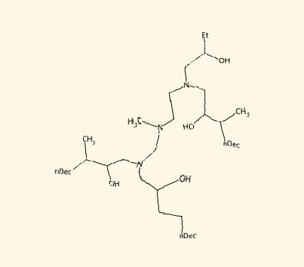 CCCCCCCCCCCCC(O)CN(CC(O)C(C)CCCCCCCCCC)CN(C)CCN(CC(O)CC)CC(O)C(C)CCCCCCCCCC